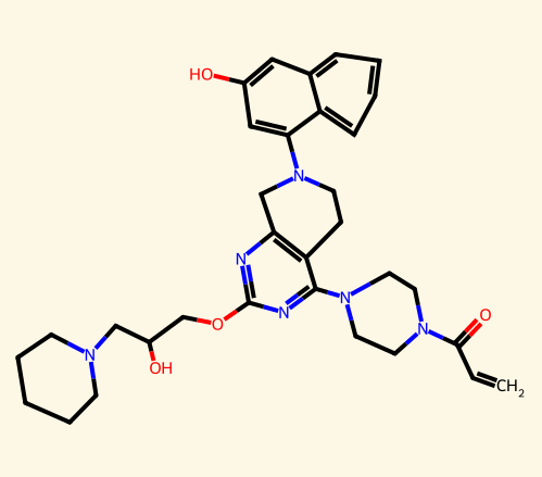 C=CC(=O)N1CCN(c2nc(OCC(O)CN3CCCCC3)nc3c2CCN(c2cc(O)cc4ccccc24)C3)CC1